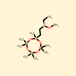 CC[SiH](CC[Si]1(C)O[Si](C)(C)O[Si](C)(C)O[Si](C)(C)O1)O[SiH3]